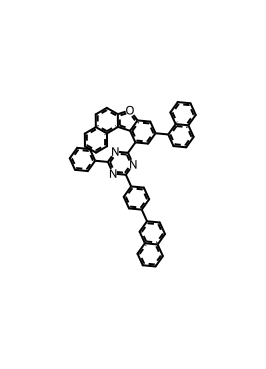 c1ccc(-c2nc(-c3ccc(-c4ccc5ccccc5c4)cc3)nc(-c3cc(-c4cccc5ccccc45)cc4oc5ccc6ccccc6c5c34)n2)cc1